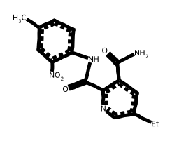 CCc1cnc(C(=O)Nc2ccc(C)cc2[N+](=O)[O-])c(C(N)=O)c1